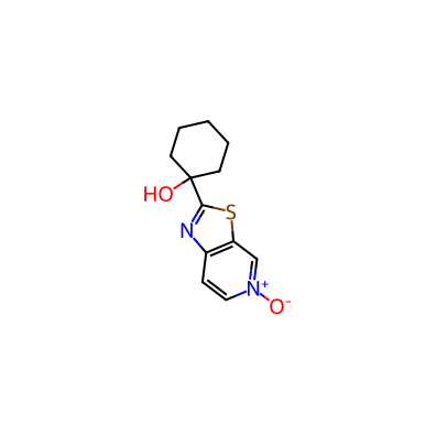 [O-][n+]1ccc2nc(C3(O)CCCCC3)sc2c1